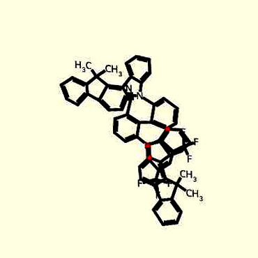 CC1(C)c2ccccc2-c2ccc3c(c21)c1ccccc1n3-c1cccc(C#N)c1-c1c(-c2ccc(C(F)(F)F)cc2C(F)(F)F)cccc1-n1c2ccccc2c2c3c(ccc21)-c1ccccc1C3(C)C